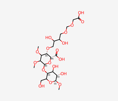 COC1C(OC)[C@H](OCC(O)C(O)COCOCC(=O)O)[C@H](C(=O)O)O[C@H]1O[C@@H]1C(CO)O[C@H](OC)[C@@H](O)C1O